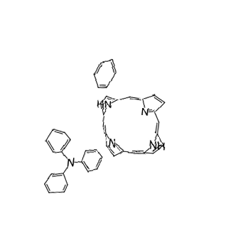 C1=Cc2cc3ccc(cc4nc(cc5ccc(cc1n2)[nH]5)C=C4)[nH]3.c1ccc(N(c2ccccc2)c2ccccc2)cc1.c1ccccc1